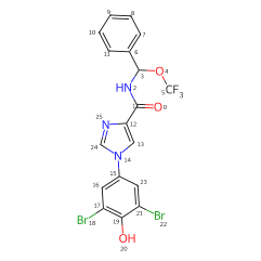 O=C(NC(OC(F)(F)F)c1ccccc1)c1cn(-c2cc(Br)c(O)c(Br)c2)cn1